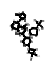 Cn1ccnc1-c1nccc2[nH]c(-c3cnc(C4CC(F)(F)C4)cc3[C@H]3CC[C@H](C(F)(F)F)CC3)cc(=O)c12